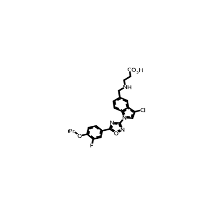 CC(C)Oc1ccc(-c2nc(-n3cc(Cl)c4cc(CNCCC(=O)O)ccc43)no2)cc1F